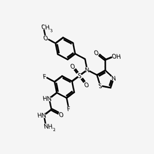 COc1ccc(CN(c2scnc2C(=O)O)S(=O)(=O)c2cc(F)c(NC(=O)NN)c(F)c2)cc1